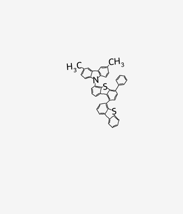 Cc1ccc2c(c1)c1cc(C)ccc1n2-c1cccc2c1sc1c(-c3ccccc3)ccc(-c3cccc4c3sc3ccccc34)c12